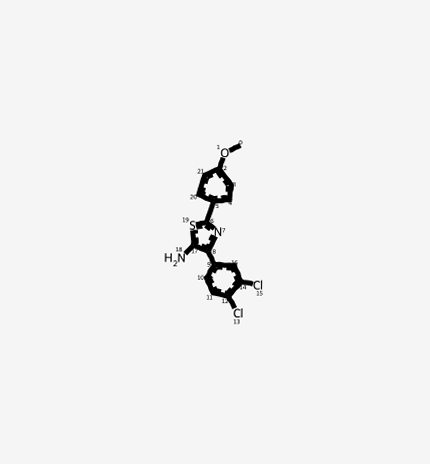 COc1ccc(-c2nc(-c3ccc(Cl)c(Cl)c3)c(N)s2)cc1